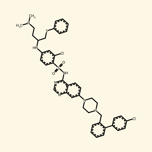 CN(C)CCC(CSc1ccccc1)Nc1ccc(S(=O)(=O)Nc2ncnc3cc(N4CCN(Cc5ccccc5-c5ccc(Cl)cc5)CC4)ccc23)c(Cl)c1